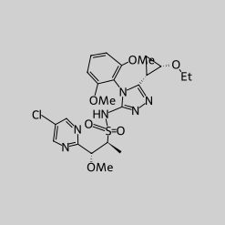 CCO[C@H]1C[C@H]1c1nnc(NS(=O)(=O)[C@@H](C)[C@H](OC)c2ncc(Cl)cn2)n1-c1c(OC)cccc1OC